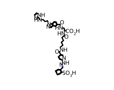 O=C(CCCCCNC(=O)c1ccc(N/N=C/c2ccccc2S(=O)(=O)O)nc1)N[C@@H](CNC(=O)c1ccc2c(cnn2CCCNc2ncc[nH]2)c1)C(=O)O